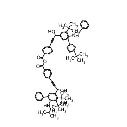 CC(C)CNc1c(-c2ccccc2)cc(C(O)C#Cc2ccc(C(=O)OC(=O)c3ccc(C#CC(O)c4cc(-c5ccc(C(C)(C)C)cc5)c(NCCc5ccccc5)c(C(C)(C)C)c4)cc3)cc2)c(C(C)(C)C)c1C(C)(C)C